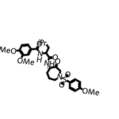 COc1ccc(S(=O)(=O)N2CCC[C@H](NC(=O)C(CC(C)C)NC(=O)c3ccc(OC)c(OC)c3)C(=O)C2)cc1